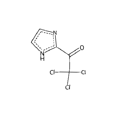 O=C(c1ncc[nH]1)C(Cl)(Cl)Cl